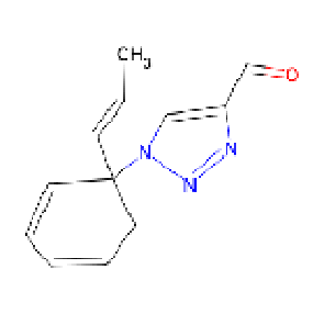 CC=CC1(n2cc(C=O)nn2)C=CC=CC1